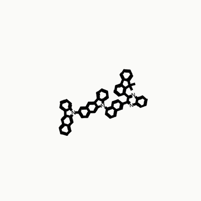 CC1(C)c2ccccc2-c2cccc(-c3nc4ccccc4nc3-c3ccc4c(-n5c6ccccc6c6cc7cc(-n8c9ccccc9c9cc%10ccccc%10cc98)ccc7cc65)cccc4c3)c21